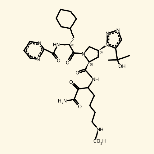 CC(C)(O)c1cnnn1[C@H]1C[C@@H](C(=O)NC(CCCCNC(=O)O)C(=O)C(N)=O)N(C(=O)[C@@H](CC2CCCCC2)NC(=O)c2ncccn2)C1